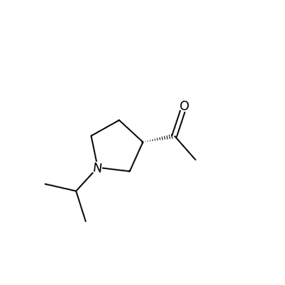 CC(=O)[C@H]1CCN(C(C)C)C1